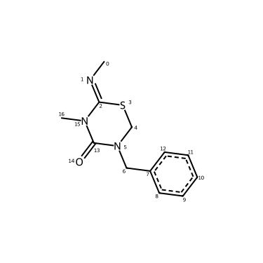 CN=C1SCN(Cc2ccccc2)C(=O)N1C